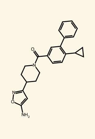 Nc1cc(C2CCN(C(=O)c3ccc(C4CC4)c(-c4ccccc4)c3)CC2)no1